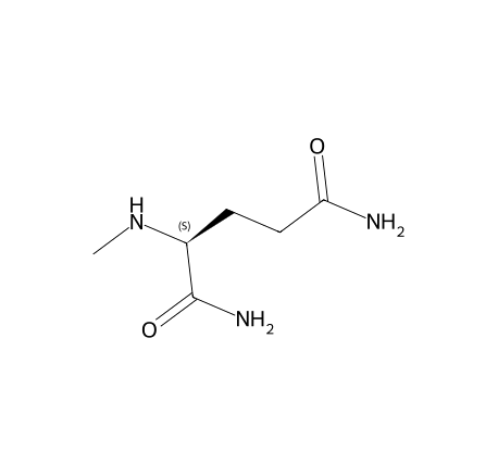 CN[C@@H](CCC(N)=O)C(N)=O